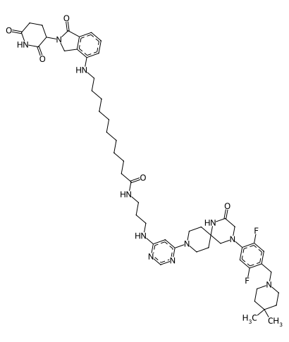 CC1(C)CCN(Cc2cc(F)c(N3CC(=O)NC4(CCN(c5cc(NCCCNC(=O)CCCCCCCCCCNc6cccc7c6CN(C6CCC(=O)NC6=O)C7=O)ncn5)CC4)C3)cc2F)CC1